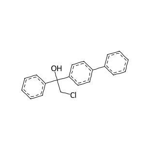 OC(CCl)(c1ccccc1)c1ccc(-c2ccccc2)cc1